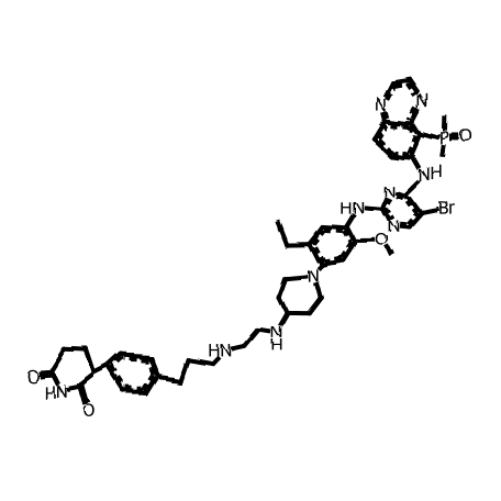 CCc1cc(Nc2ncc(Br)c(Nc3ccc4nccnc4c3P(C)(C)=O)n2)c(OC)cc1N1CCC(NCCNCCCc2ccc(C3CCC(=O)NC3=O)cc2)CC1